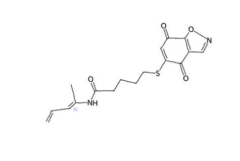 C=C/C=C(\C)NC(=O)CCCCSC1=CC(=O)c2oncc2C1=O